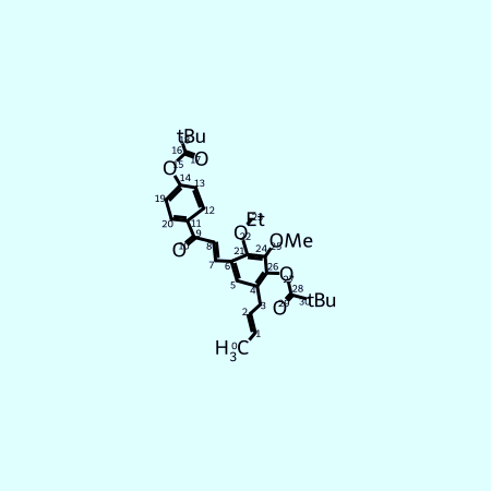 CC=CCc1cc(C=CC(=O)c2ccc(OC(=O)C(C)(C)C)cc2)c(OCC)c(OC)c1OC(=O)C(C)(C)C